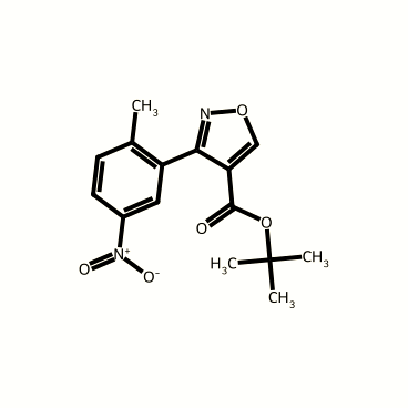 Cc1ccc([N+](=O)[O-])cc1-c1nocc1C(=O)OC(C)(C)C